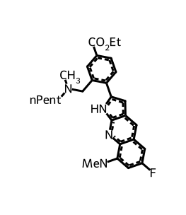 CCCCCN(C)Cc1cc(C(=O)OCC)ccc1-c1cc2cc3cc(F)cc(NC)c3nc2[nH]1